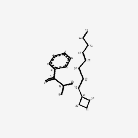 C=C(c1ccccc1)C(C)C.CCCCCCCCC1CCC1